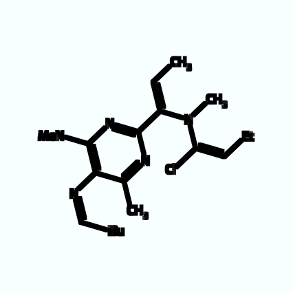 C/C=C(/c1nc(C)c(/N=C\C(C)CC)c(NC)n1)N(C)/C(Cl)=C\CC